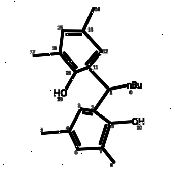 CCCCC(c1cc(C)cc(C)c1O)c1cc(C)cc(C)c1O